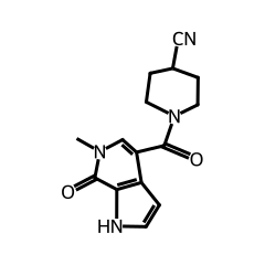 Cn1cc(C(=O)N2CCC(C#N)CC2)c2cc[nH]c2c1=O